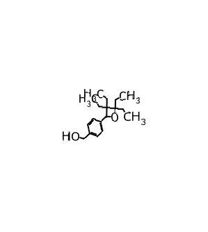 CCC1(CC)OC(c2ccc(CO)cc2)C1(CC)CC